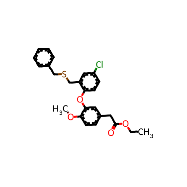 CCOC(=O)Cc1ccc(OC)c(Oc2ccc(Cl)cc2CSCc2ccccc2)c1